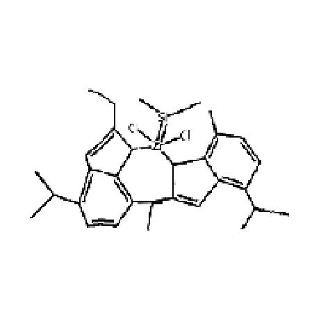 CCC1=Cc2c(C(C)C)ccc(C)c2[CH]1[Zr]([Cl])([Cl])([CH]1C(CC)=Cc2c(C(C)C)ccc(C)c21)=[Si](C)C